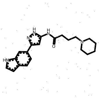 O=C(CCCN1CCCCC1)Nc1cc(-c2ccc3cc[nH]c3c2)n[nH]1